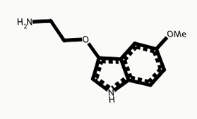 COc1ccc2[nH]cc(OCCN)c2c1